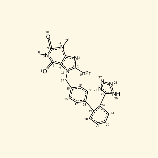 CCCc1nc2c(c(=O)n(C)c(=O)n2C)n1Cc1ccc(-c2ccccc2-c2nnn[nH]2)cc1